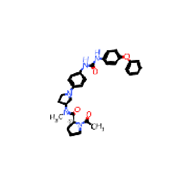 CC(=O)N1CCC[C@H]1C(=O)N(C)C1CCN(c2ccc(NC(=O)Nc3ccc(Oc4ccccc4)cc3)cc2)C1